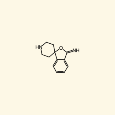 N=C1OC2(CCNCC2)c2ccccc21